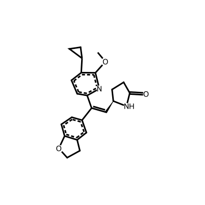 COc1nc(C(=C[C@H]2CCC(=O)N2)c2ccc3c(c2)CCO3)ccc1C1CC1